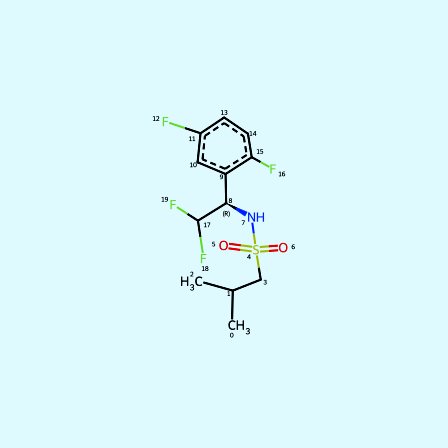 CC(C)CS(=O)(=O)N[C@H](c1cc(F)ccc1F)C(F)F